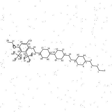 CCCCCC1CCC(CCC2CCC(C3CCC(CCc4c(C)cc(OCC)c(C(F)(F)F)c4C(F)(F)F)CC3)CC2)CC1